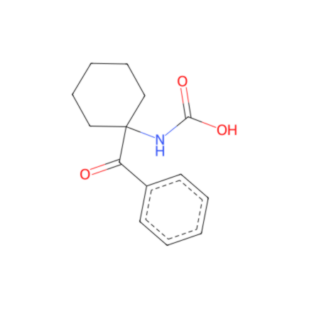 O=C(O)NC1(C(=O)c2ccccc2)CCCCC1